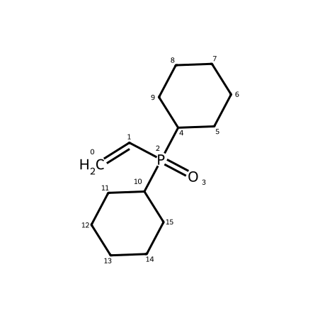 C=CP(=O)(C1CCCCC1)C1CCCCC1